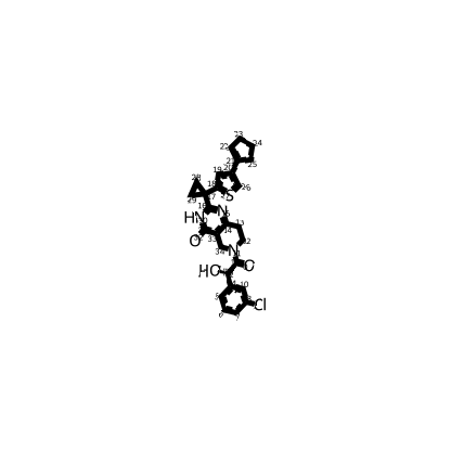 O=C([C@H](O)c1cccc(Cl)c1)N1CCc2nc(C3(c4cc(C5=CCCC5)cs4)CC3)[nH]c(=O)c2C1